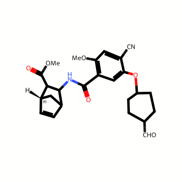 COC(=O)C1C(NC(=O)c2cc(OC3CCC(C=O)CC3)c(C#N)cc2OC)C2C=C[C@H]1C2